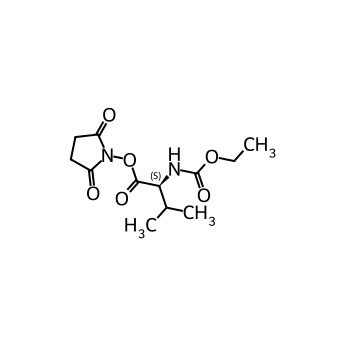 CCOC(=O)N[C@H](C(=O)ON1C(=O)CCC1=O)C(C)C